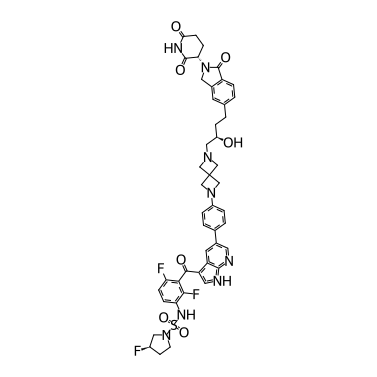 O=C1CC[C@H](N2Cc3cc(CC[C@@H](O)CN4CC5(C4)CN(c4ccc(-c6cnc7[nH]cc(C(=O)c8c(F)ccc(NS(=O)(=O)N9CC[C@@H](F)C9)c8F)c7c6)cc4)C5)ccc3C2=O)C(=O)N1